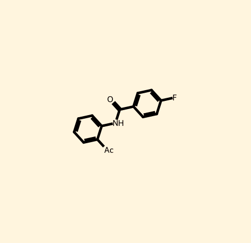 CC(=O)c1ccccc1NC(=O)c1ccc(F)cc1